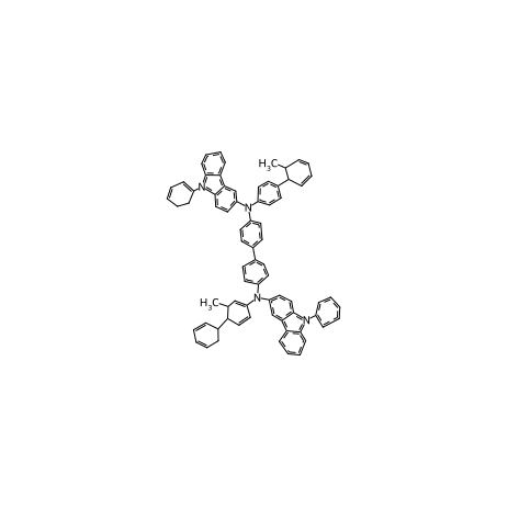 CC1C=CC=CC1c1ccc(N(c2ccc(-c3ccc(N(C4=CC(C)C(C5C=CC=CC5)C=C4)c4ccc5c(c4)c4ccccc4n5-c4ccccc4)cc3)cc2)c2ccc3c(c2)c2ccccc2n3C2=CC=CCC2)cc1